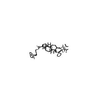 COc1cc2c(cc1O[Si](C(C)C)(C(C)C)C(C)C)CC[C@@H]1[C@@H]2CC[C@]2(C)C([C@H](C)CCCBr)=CC[C@@H]12